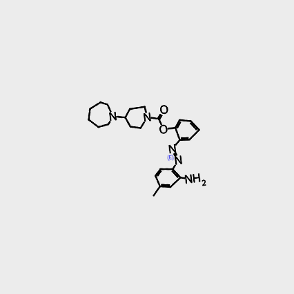 Cc1ccc(/N=N/c2ccccc2OC(=O)N2CCC(N3CCCCCC3)CC2)c(N)c1